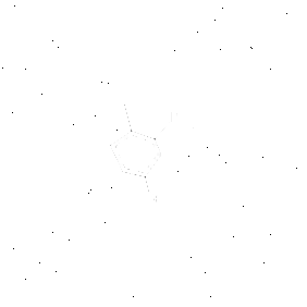 Bc1cc(Br)ccc1C